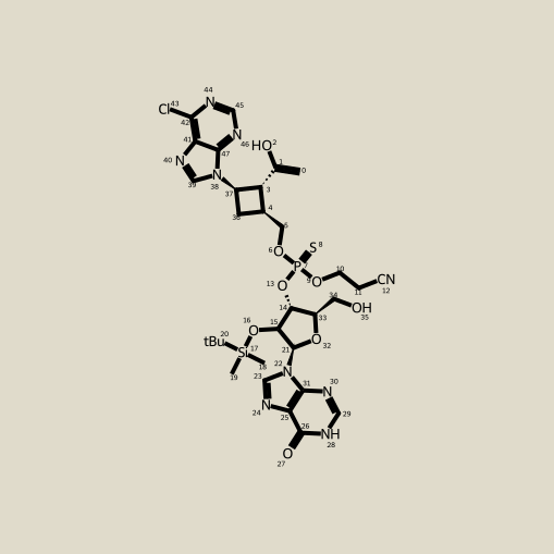 C=C(O)[C@@H]1[C@@H](COP(=S)(OCCC#N)O[C@H]2C(O[Si](C)(C)C(C)(C)C)[C@H](n3cnc4c(=O)[nH]cnc43)O[C@@H]2CO)C[C@H]1n1cnc2c(Cl)ncnc21